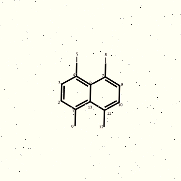 Cc1ccc(I)c2c(I)ccc(C)c12